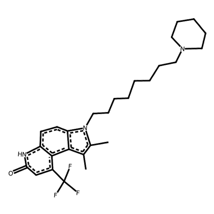 Cc1c(C)n(CCCCCCCCN2CCCCC2)c2ccc3[nH]c(=O)cc(C(F)(F)F)c3c12